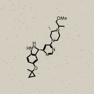 COCC(C)N1CCN(c2cc([C@@H]3NNc4ccc(OC5(C)CC5)cc43)ncn2)C[C@@H]1C